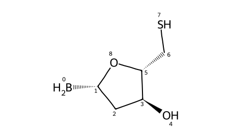 B[C@H]1C[C@H](O)[C@@H](CS)O1